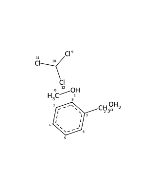 CO.Cc1ccccc1.ClC(Cl)Cl.O